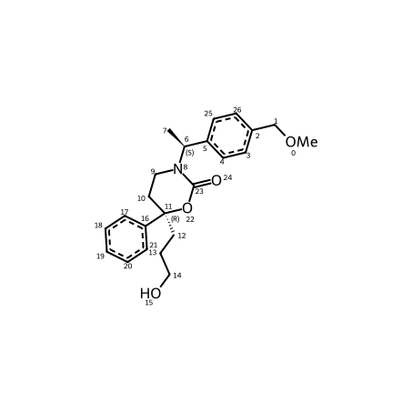 COCc1ccc([C@H](C)N2CC[C@](CCCO)(c3ccccc3)OC2=O)cc1